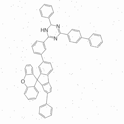 c1ccc(-c2ccc(C3=NC(c4ccccc4)NC(c4cccc(-c5ccc6c(c5)C5(c7ccccc7Oc7ccccc75)c5cc(-c7ccccc7)ccc5-6)c4)=N3)cc2)cc1